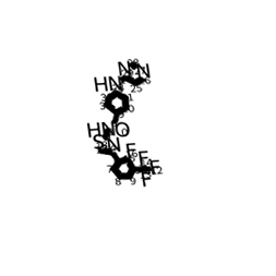 O=C(Nc1nc(-c2cccc(C(F)(F)F)c2F)cs1)c1ccc(Nc2ccncn2)cc1